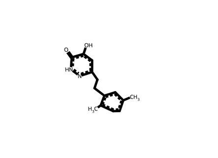 Cc1ccc(C)c(CCc2cc(O)c(=O)[nH]n2)c1